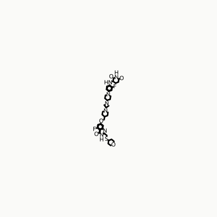 O=C1CCC(Nc2ccc(N3CCC(N4CC(N5CCC(COc6cc(F)c7c(=O)[nH]c(CSC8CCOCC8)nc7c6)CC5)C4)CC3)cc2F)C(=O)N1